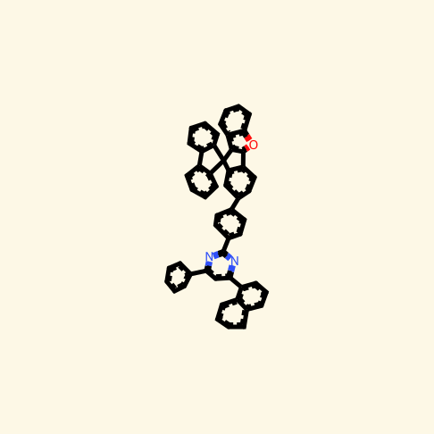 c1ccc(-c2cc(-c3cccc4ccccc34)nc(-c3ccc(-c4ccc5c(c4)C4(c6ccccc6-c6ccccc64)c4c-5oc5ccccc45)cc3)n2)cc1